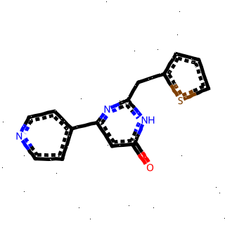 O=c1cc(-c2ccncc2)nc(Cc2cccs2)[nH]1